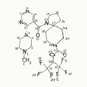 CN1CCN(c2ncncc2C(=O)N2CCCC23CCN(C(=O)OC(C(F)(F)F)C(F)(F)F)CC3)CC1